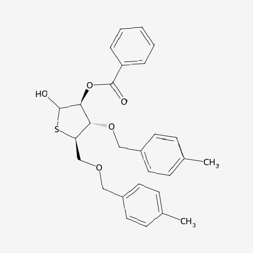 Cc1ccc(COC[C@H]2SC(O)[C@@H](OC(=O)c3ccccc3)[C@@H]2OCc2ccc(C)cc2)cc1